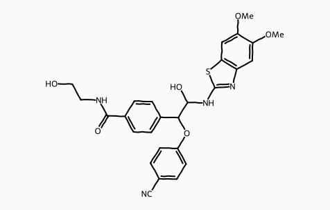 COc1cc2nc(NC(O)C(Oc3ccc(C#N)cc3)c3ccc(C(=O)NCCO)cc3)sc2cc1OC